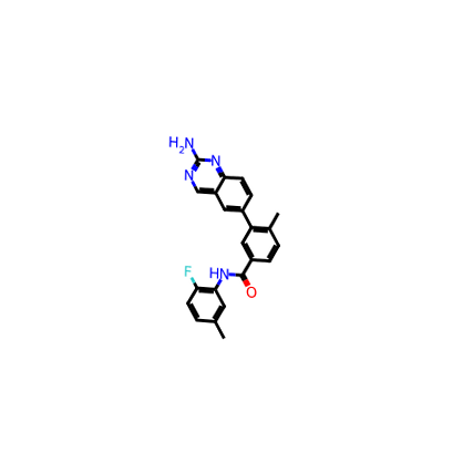 Cc1ccc(F)c(NC(=O)c2ccc(C)c(-c3ccc4nc(N)ncc4c3)c2)c1